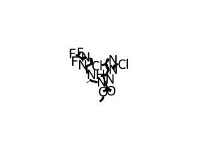 CCOC(=O)c1nc(-c2nc(Cl)ncc2Cl)cn1C[C@H](C)NCc1ccnc(C(F)(F)F)n1